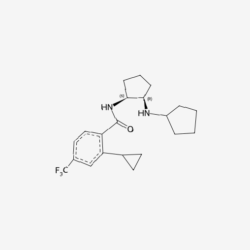 O=C(N[C@H]1CCC[C@H]1NC1CCCC1)c1ccc(C(F)(F)F)cc1C1CC1